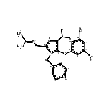 CC(C)c1nc(CN=C(N)N)n(Cc2ccncc2)c1Sc1cc(Cl)cc(Cl)c1